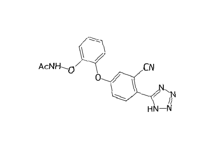 CC(=O)NOc1ccccc1Oc1ccc(-c2nnn[nH]2)c(C#N)c1